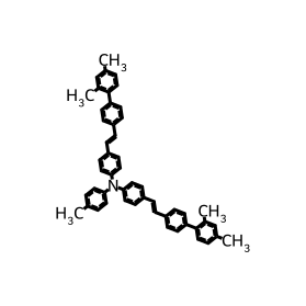 Cc1ccc(N(c2ccc(C=Cc3ccc(-c4ccc(C)cc4C)cc3)cc2)c2ccc(C=Cc3ccc(-c4ccc(C)cc4C)cc3)cc2)cc1